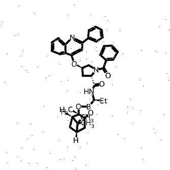 CC[C@H](NC(=O)[C@@H]1C[C@@H](Oc2cc(-c3ccccc3)nc3ccccc23)CN1C(=O)c1ccccc1)B1OC2C[C@@H]3C[C@@H](C3(C)C)[C@]2(C)O1